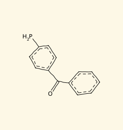 O=C(c1ccccc1)c1ccc(P)cc1